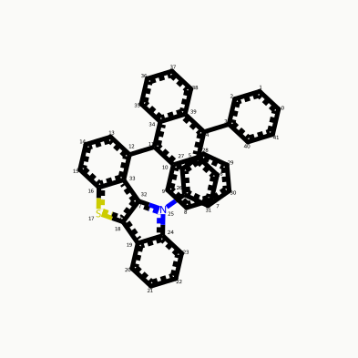 c1ccc(-c2c3ccccc3c(-c3cccc4sc5c6ccccc6n(-c6ccccc6)c5c34)c3ccccc23)cc1